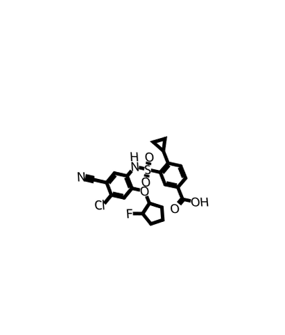 N#Cc1cc(NS(=O)(=O)c2cc(C(=O)O)ccc2C2CC2)c(OC2CCCC2F)cc1Cl